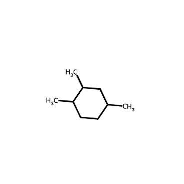 C[C]1CCC(C)C(C)C1